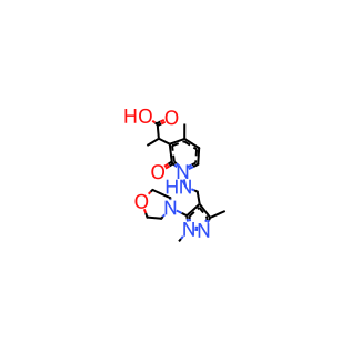 Cc1ccn(NCc2c(C)nn(C)c2N2CCOCC2)c(=O)c1C(C)C(=O)O